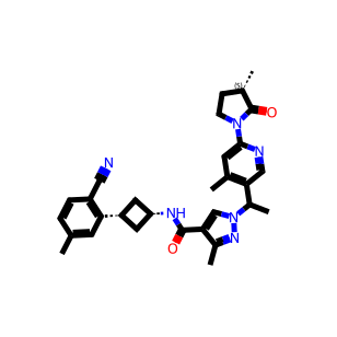 Cc1ccc(C#N)c([C@H]2C[C@@H](NC(=O)c3cn(C(C)c4cnc(N5CC[C@H](C)C5=O)cc4C)nc3C)C2)c1